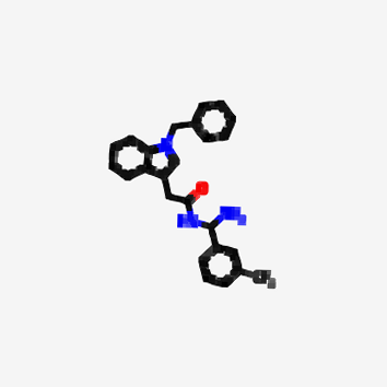 NC(NC(=O)Cc1cn(Cc2ccccc2)c2ccccc12)c1cccc(C(F)(F)F)c1